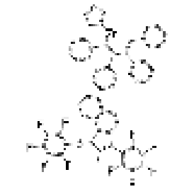 C1=CC[C]([Zr][C](=C(C(=Cc2ccccc2)c2ccccc2)c2ccccc2)c2ccccc2)=C1.CC1=C(c2c(F)c(F)c(F)c(F)c2F)c2ccc3ccccc3c2C1=Bc1c(F)c(F)c(F)c(F)c1F